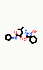 CC(C)[C@H](NC(=O)C1(NO)CCCCC1)C(=O)C(=O)NC1CCCC1